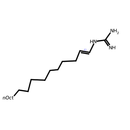 CCCCCCCCCCCCCCCC/C=C/NC(=N)N